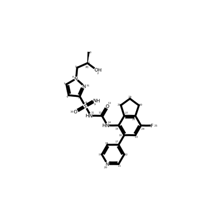 C[C@@H](O)Cn1ccc(S(=N)(=O)NC(=O)Nc2c(-c3ccncc3)cc(F)c3c2CCC3)n1